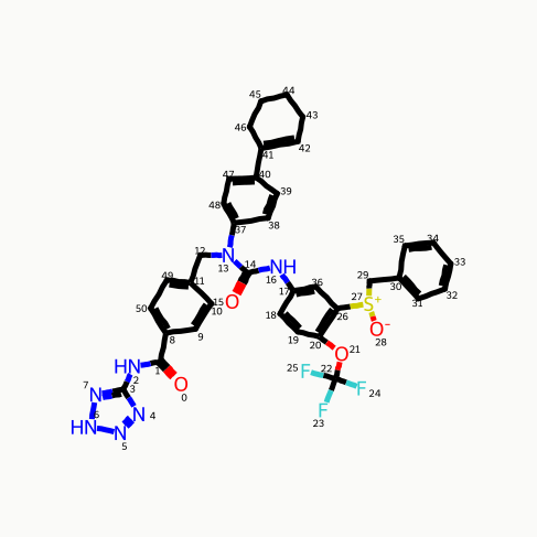 O=C(Nc1nn[nH]n1)c1ccc(CN(C(=O)Nc2ccc(OC(F)(F)F)c([S+]([O-])Cc3ccccc3)c2)c2ccc(C3=CCCCC3)cc2)cc1